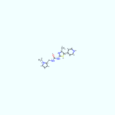 Cc1nc(NC(=O)NCc2cccn2C)sc1-c1ccncc1